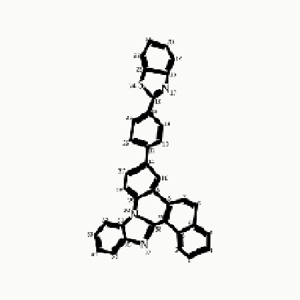 c1ccc2c(c1)ccc1c3cc(-c4ccc(-c5nc6ccccc6s5)cc4)ccc3n3c4ccccc4nc3c21